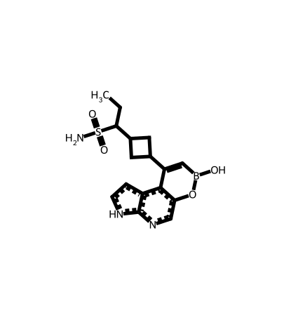 CCC(C1CC(C2=CB(O)Oc3cnc4[nH]ccc4c32)C1)S(N)(=O)=O